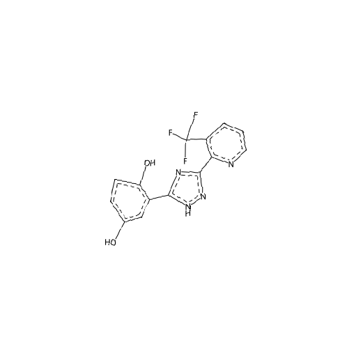 Oc1ccc(O)c(-c2nc(-c3ncccc3C(F)(F)F)n[nH]2)c1